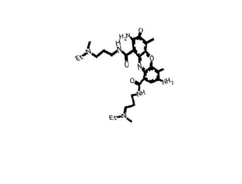 CCN(C)CCCNC(=O)c1c2nc3c(C(=O)NCCCN(C)CC)cc(N)c(C)c3oc-2c(C)c(=O)c1N